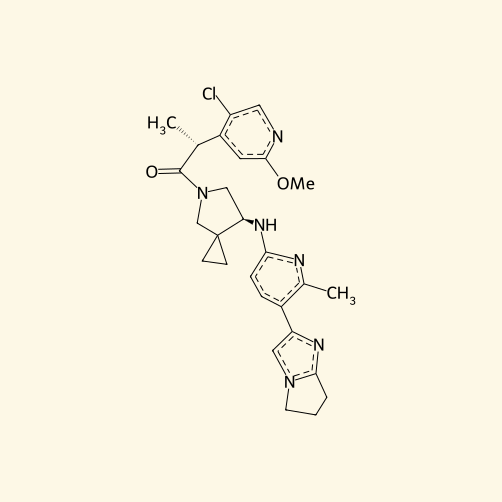 COc1cc([C@@H](C)C(=O)N2C[C@@H](Nc3ccc(-c4cn5c(n4)CCC5)c(C)n3)C3(CC3)C2)c(Cl)cn1